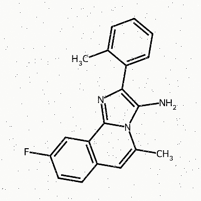 Cc1ccccc1-c1nc2c3cc(F)ccc3cc(C)n2c1N